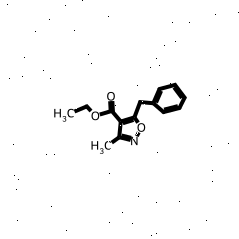 CCOC(=O)c1c(C)noc1Cc1ccccc1